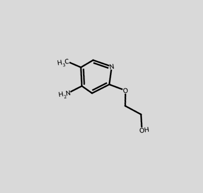 Cc1cnc(OCCO)cc1N